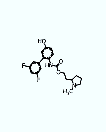 CN1CCCC1CCOC(=O)Nc1ccc(O)cc1-c1cc(F)cc(F)c1